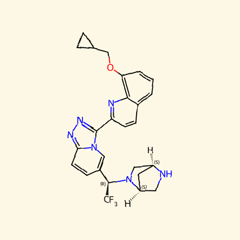 FC(F)(F)[C@@H](c1ccc2nnc(-c3ccc4cccc(OCC5CC5)c4n3)n2c1)N1C[C@@H]2C[C@H]1CN2